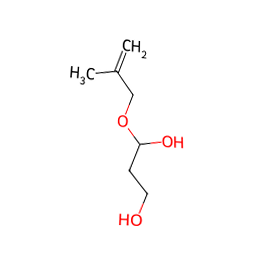 C=C(C)COC(O)CCO